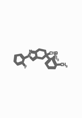 Cc1cccc(C2(C=O)CCc3nn(-c4ccccc4F)cc3C2)c1C